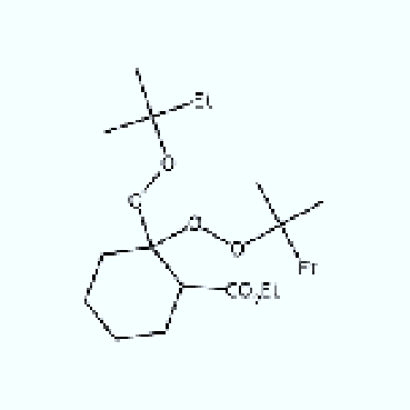 CCOC(=O)C1CCCCC1(OOC(C)(C)CC)OOC(C)(C)CC